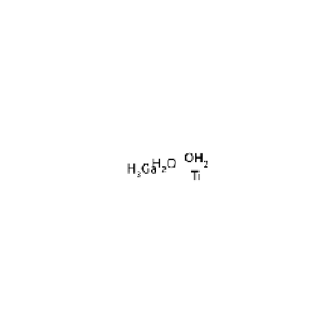 O.O.[GaH3].[Ti]